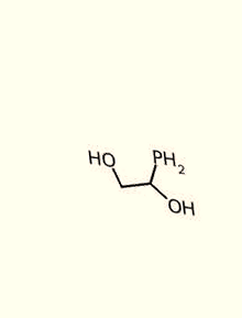 OCC(O)P